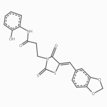 O=C(CCN1C(=O)/C(=C/c2ccc3c(c2)OCO3)SC1=S)Nc1ccccc1O